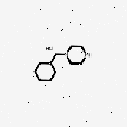 C1CCC(CN2CCNCC2)CC1.Cl